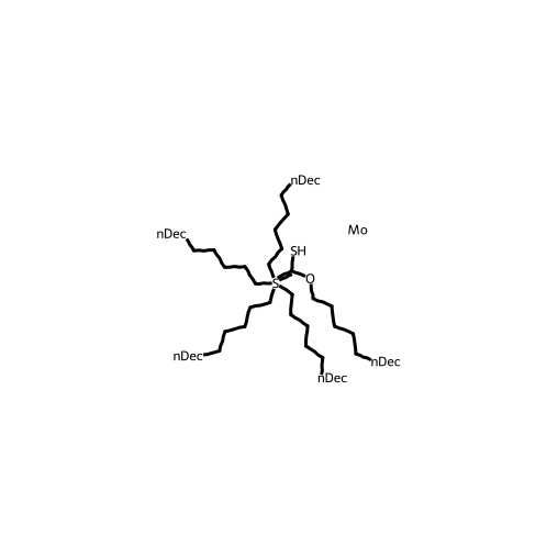 CCCCCCCCCCCCCCCOC(S)=S(CCCCCCCCCCCCCCC)(CCCCCCCCCCCCCCC)(CCCCCCCCCCCCCCC)CCCCCCCCCCCCCCC.[Mo]